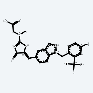 CN(CC(=O)O)C1=NC(=O)C(=Cc2ccc3c(cnn3Cc3ccc(Cl)cc3C(F)(F)F)c2)S1